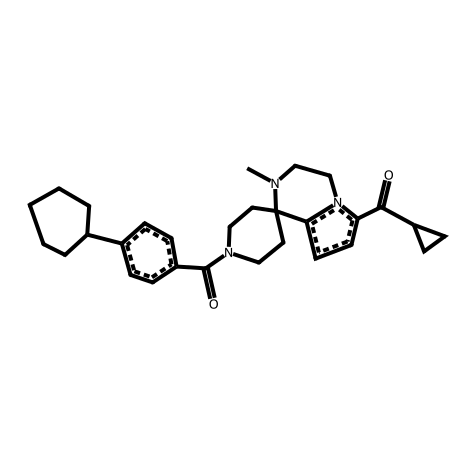 CN1CCn2c(C(=O)C3CC3)ccc2C12CCN(C(=O)c1ccc(C3CCCCC3)cc1)CC2